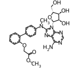 COC(=O)COc1ccccc1-c1ccc(N(C)c2nc3c(N)ncnc3n2[C@@H]2O[C@H](CO)[C@@H](O)[C@H]2O)cc1